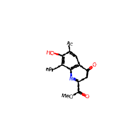 CCCc1c(O)c(C(C)=O)cc2c1N=C(C(=O)OC)CC2=O